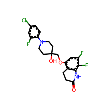 O=C1CCc2c(OCC3(O)CCN(c4ccc(Cl)cc4F)CC3)cc(F)c(F)c2N1